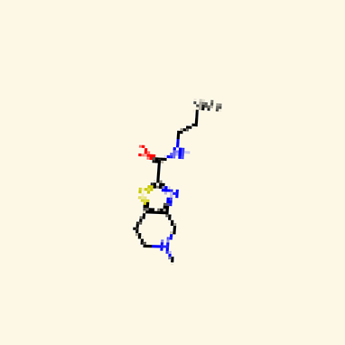 CNCCNC(=O)c1nc2c(s1)CCN(C)C2